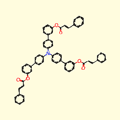 O=C(/C=C/c1ccccc1)Oc1cccc(-c2ccc(N(c3ccc(-c4cccc(OC(=O)/C=C/c5ccccc5)c4)cc3)c3ccc(-c4cccc(OC(=O)/C=C/c5ccccc5)c4)cc3)cc2)c1